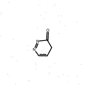 O=C1CC=[C]N=N1